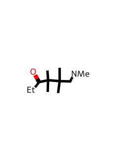 CCC(=O)C(C)(C)C(C)(C)CNC